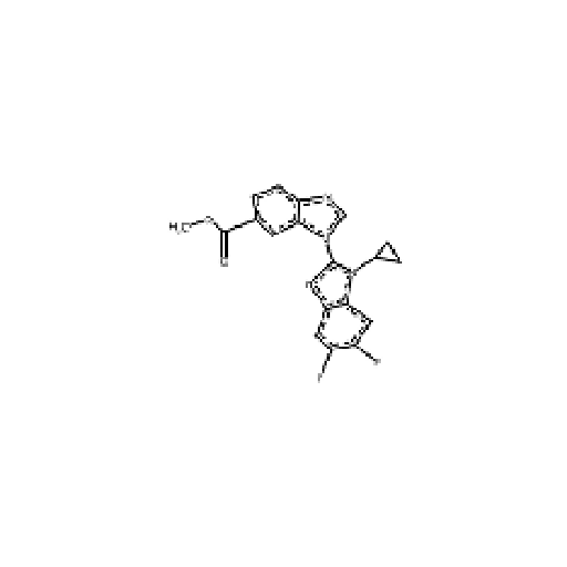 COC(=O)c1ccc2ncn(-c3nc4cc(F)c(F)cc4n3C3CC3)c2c1